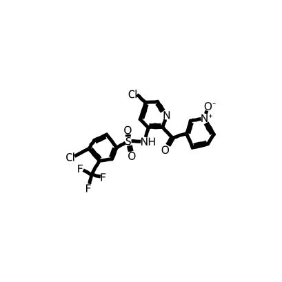 O=C(c1ccc[n+]([O-])c1)c1ncc(Cl)cc1NS(=O)(=O)c1ccc(Cl)c(C(F)(F)F)c1